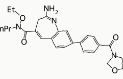 CCCN(OCC)C(=O)C1=Cc2ccc(-c3ccc(C(=O)N4CCOC4)cc3)cc2N=C(N)C1